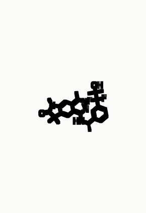 Cc1nnc(N[C@H](C)c2cccc(C(F)(F)C(C)(C)O)c2)c2cc3c(cc12)N(C)C(=O)C3(C)C